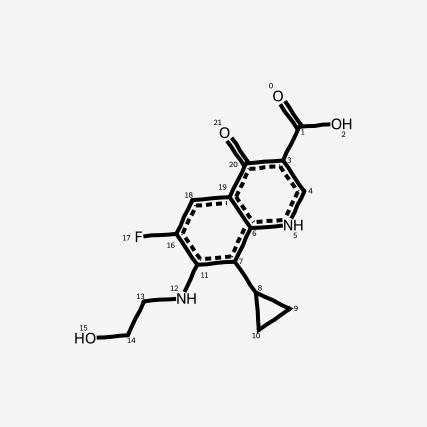 O=C(O)c1c[nH]c2c(C3CC3)c(NCCO)c(F)cc2c1=O